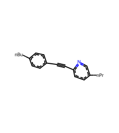 CCCCc1ccc(C#Cc2ccc(CCC)cn2)cc1